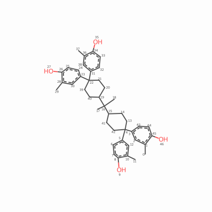 Cc1cc(C2(c3ccc(O)c(C)c3)CCC(C(C)(C)C3CCC(c4ccc(O)c(C)c4)(c4ccc(O)c(C)c4)CC3)CC2)ccc1O